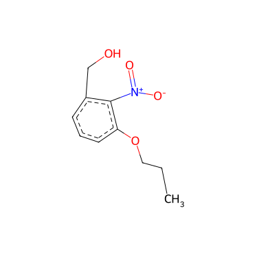 CCCOc1cccc(CO)c1[N+](=O)[O-]